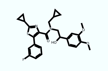 COc1ccc(C(O)CN(CC2CC2)C(=O)c2nc(C3CC3)sc2-c2cccc(F)c2)cc1OC